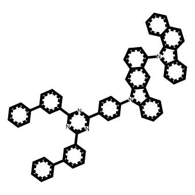 c1ccc(-c2cccc(-c3nc(-c4ccc(-n5c6ccccc6c6cc7c(-n8c9ccccc9c9ccc%10ccccc%10c98)cccc7cc65)cc4)nc(-c4cccc(-c5ccccc5)c4)n3)c2)cc1